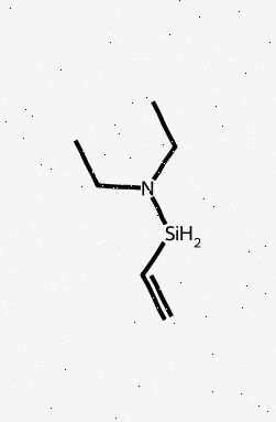 C=C[SiH2]N(CC)CC